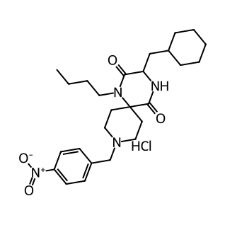 CCCCN1C(=O)C(CC2CCCCC2)NC(=O)C12CCN(Cc1ccc([N+](=O)[O-])cc1)CC2.Cl